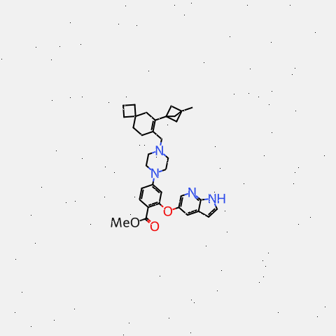 COC(=O)c1ccc(N2CCN(CC3=C(C45CC(C)(C4)C5)CC4(CCC4)CC3)CC2)cc1Oc1cnc2[nH]ccc2c1